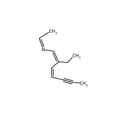 CC#C\C=C/C(=C\N=C/C)CC